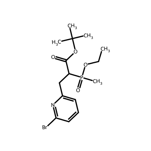 CCOP(C)(=O)C(Cc1cccc(Br)n1)C(=O)OC(C)(C)C